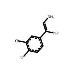 CCCC(=CN)c1ccc(Cl)c(Cl)c1